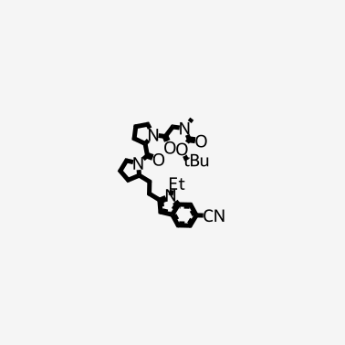 CCn1c(CCC2CCCN2C(=O)C2CCCN2C(=O)CN(C)C(=O)OC(C)(C)C)cc2ccc(C#N)cc21